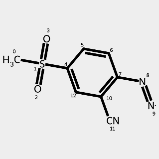 CS(=O)(=O)c1ccc(N=[N])c(C#N)c1